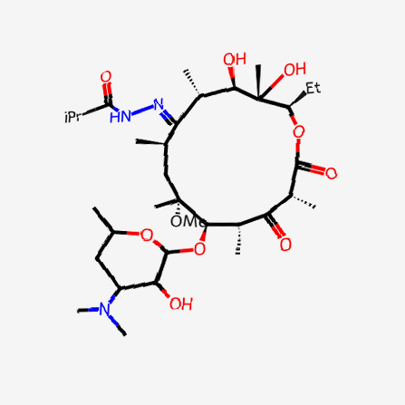 CC[C@H]1OC(=O)[C@H](C)C(=O)[C@H](C)[C@@H](OC2OC(C)CC(N(C)C)C2O)[C@](C)(OC)C[C@@H](C)/C(=N\NC(=O)C(C)C)[C@H](C)[C@@H](O)[C@]1(C)O